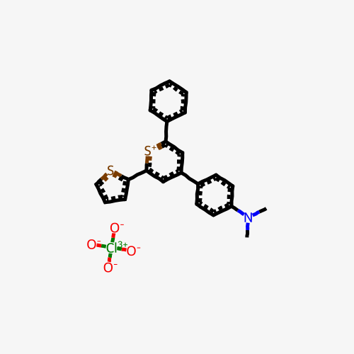 CN(C)c1ccc(-c2cc(-c3ccccc3)[s+]c(-c3cccs3)c2)cc1.[O-][Cl+3]([O-])([O-])[O-]